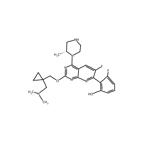 C[C@@H]1CNCCN1c1nc(OCC2(CN(C)C)CC2)nc2nc(-c3c(O)cccc3F)c(F)cc12